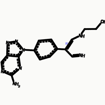 N=C/C(=C\NCCO)c1ccc(-n2nnc3cnc(N)nc32)cc1